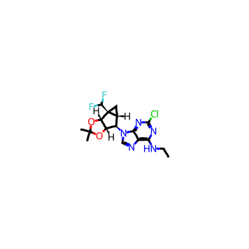 CCNc1nc(Cl)nc2c1ncn2[C@H]1[C@@H]2OC(C)(C)O[C@@H]2[C@]2(C(F)F)C[C@H]12